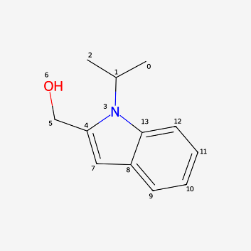 CC(C)n1c(CO)cc2ccccc21